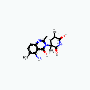 Bc1ccc2nc(C)n(C3(B)CC(B)C(=O)NC3=O)c(=O)c2c1N